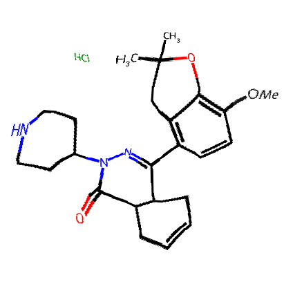 COc1ccc(C2=NN(C3CCNCC3)C(=O)C3CC=CCC23)c2c1OC(C)(C)C2.Cl